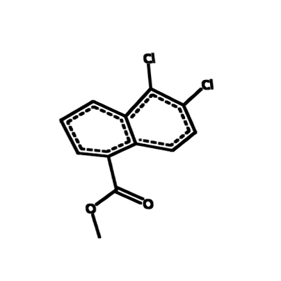 COC(=O)c1cccc2c(Cl)c(Cl)ccc12